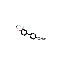 COc1ccc(-c2ccc(OC(=O)O)cc2)cc1